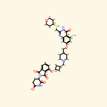 O=C1CCC(N2C(=O)c3cccc(O[C@H]4C[C@H](CN5CCC(COc6cc(F)c7c(=O)[nH]c(CSC8CCOCC8)nc7c6)CC5)C4)c3C2=O)C(=O)N1